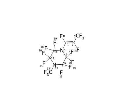 FC(=C(F)C(F)(F)F)N1C(F)(F)C(F)(F)N(C(F)(F)F)C(F)(F)C1(F)F